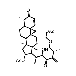 C=C(C(=O)[C@H](O)[C@@H](C)[C@H]1[C@@H](OC(C)=O)C[C@@]2(C)C3CCC4[C@H](C)C(=O)C=C[C@@]45C[C@@]35CC[C@]12C)[C@@H](C)COCOC(C)=O